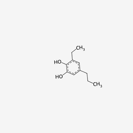 CCCc1cc(O)c(O)c(CC)c1